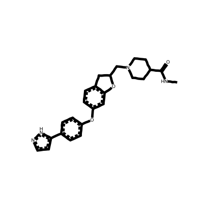 CNC(=O)C1CCN(CC2Cc3ccc(Oc4ccc(-c5ccn[nH]5)cc4)cc3O2)CC1